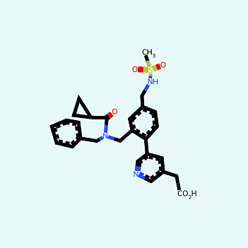 CS(=O)(=O)NCc1ccc(-c2cncc(CC(=O)O)c2)c(CN(Cc2ccccc2)C(=O)C2CC2)c1